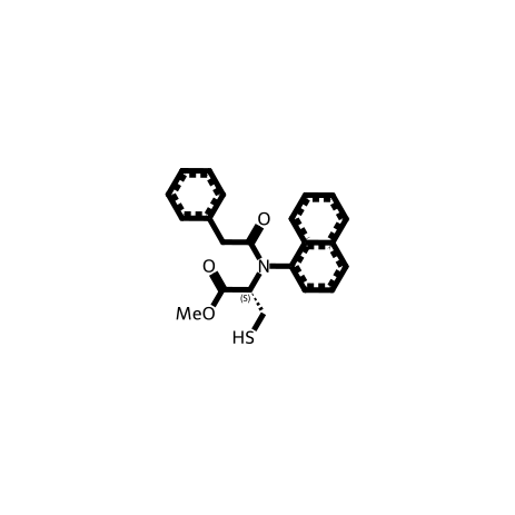 COC(=O)[C@@H](CS)N(C(=O)Cc1ccccc1)c1cccc2ccccc12